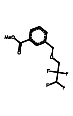 COC(=O)c1cccc(COCC(F)(F)C(F)F)c1